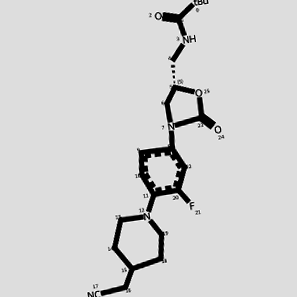 CC(C)(C)C(=O)NC[C@H]1CN(c2ccc(N3CCC(CC#N)CC3)c(F)c2)C(=O)O1